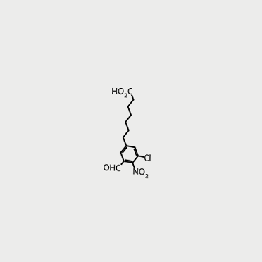 O=Cc1cc(CCCCCCC(=O)O)cc(Cl)c1[N+](=O)[O-]